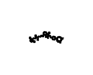 C=C1/C=C(F)\C=C/C/C(C2CCN(CCc3c(C)nc4n(c3=O)CCCC4OCCCNC(=O)CCN3C(=O)C=CC3=O)CC2)=N\O1